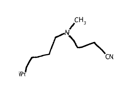 CC(C)CCCN(C)CCC#N